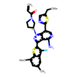 C=CC(=O)N1CC[C@H](n2nc(-c3sc4c(OC)cc(C)cc4c3F)c3c(N)ncc(-c4ncc(COC)s4)c32)C1